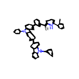 CC/C(=C1/C=CC=C(c2ccccc2C)N1)c1c#ccc(-c2ccc3c(c2)c2cc(-c4ccc5c(c4)c4ccccc4n5-c4ccccc4)ccc2n3-c2ccccc2)c1